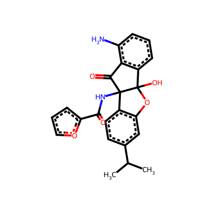 CC(C)c1ccc2c(c1)OC1(O)c3cccc(N)c3C(=O)C21NC(=O)c1ccco1